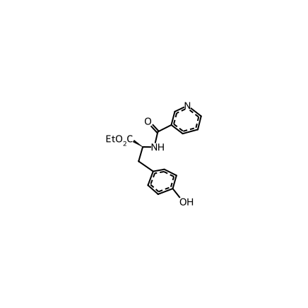 CCOC(=O)[C@H](Cc1ccc(O)cc1)NC(=O)c1cccnc1